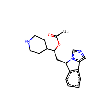 CC(C)(C)C(=O)O[C@@H](C[C@@H]1c2ccccc2-c2cncn21)C1CCNCC1